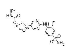 CC(C)NC(=O)O[C@H]1CO[C@H](c2cnc(Nc3ccc(S(N)(=O)=O)cc3F)nc2)C1